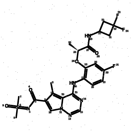 Cc1c(C(=O)N=S(C)(C)=O)cn2ncnc(Nc3ccc(F)cc3O[C@H](C)C(=O)NC3CC(F)(F)C3)c12